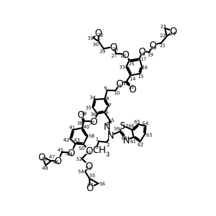 CCCN(/N=C/c1cc(CCOC(=O)c2ccc(OCOCC3CO3)c(OCOCC3CO3)c2)ccc1OC(=O)c1ccc(OCOC2CO2)c(OCOCC2CO2)c1)c1nc2ccccc2s1